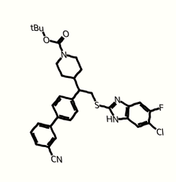 CC(C)(C)OC(=O)N1CCC(C(CSc2nc3cc(F)c(Cl)cc3[nH]2)c2ccc(-c3cccc(C#N)c3)cc2)CC1